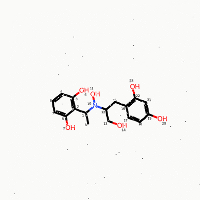 CC(c1c(O)cccc1O)N(O)C(CO)Cc1ccc(O)cc1O